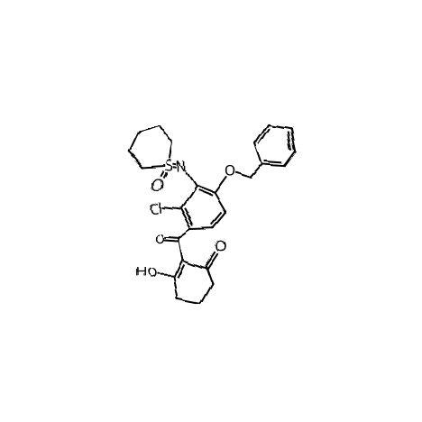 O=C1CCCC(O)=C1C(=O)c1ccc(OCc2ccccc2)c(N=S2(=O)CCCCC2)c1Cl